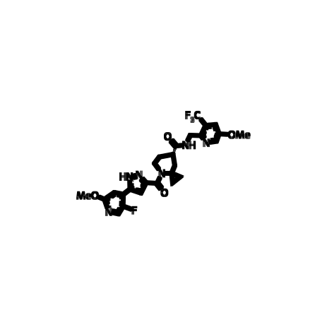 COc1cnc(CNC(=O)[C@H]2CCN(C(=O)c3cc(-c4cc(OC)ncc4F)[nH]n3)C3(CC3)C2)c(C(F)(F)F)c1